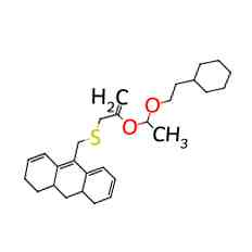 C=C(CSCC1=C2C=CCCC2CC2CC=CC=C12)OC(C)OCCC1CCCCC1